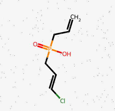 C=CCP(=O)(O)CC=CCl